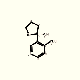 CCCCc1ccncc1[C@]1(C)CCCN1